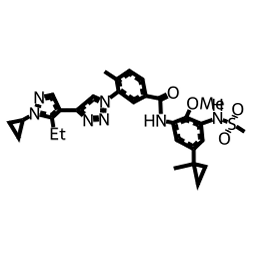 CCc1c(-c2cn(-c3cc(C(=O)Nc4cc(C5(C)CC5)cc(NS(C)(=O)=O)c4OC)ccc3C)nn2)cnn1C1CC1